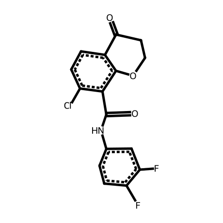 O=C1CCOc2c1ccc(Cl)c2C(=O)Nc1ccc(F)c(F)c1